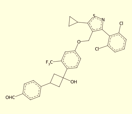 O=Cc1ccc(C2CC(O)(c3ccc(OCc4c(-c5c(Cl)cccc5Cl)nsc4C4CC4)cc3C(F)(F)F)C2)cc1